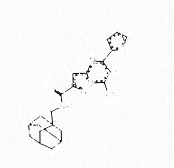 O=C(NCC12CC3CC(CC(C3)C1)C2)c1cc2nc(-c3ccco3)cc(C(F)(F)F)n2n1